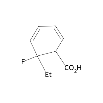 CCC1(F)C=CC=CC1C(=O)O